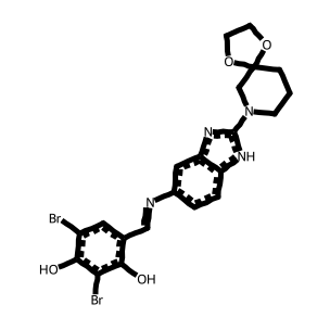 Oc1c(Br)cc(/C=N/c2ccc3[nH]c(N4CCCC5(C4)OCCO5)nc3c2)c(O)c1Br